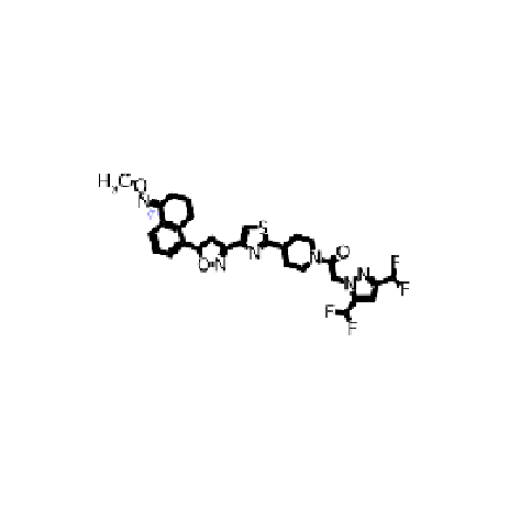 CO/N=C1\CCCc2c1cccc2C1CC(c2csc(C3CCN(C(=O)Cn4nc(C(F)F)cc4C(F)F)CC3)n2)=NO1